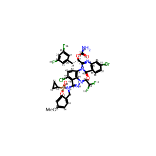 COc1ccc(CN(c2nn(CC(F)F)c3c(-n4c([C@H](Cc5cc(F)cc(F)c5)OC(N)=O)nc5cc(Br)ccc5c4=O)ccc(Cl)c23)S(=O)(=O)C2CC2)cc1